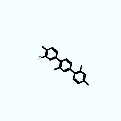 Cc1ccc(-c2ccc(-c3ccc(C)c(F)c3)c(C)c2)c(C)c1